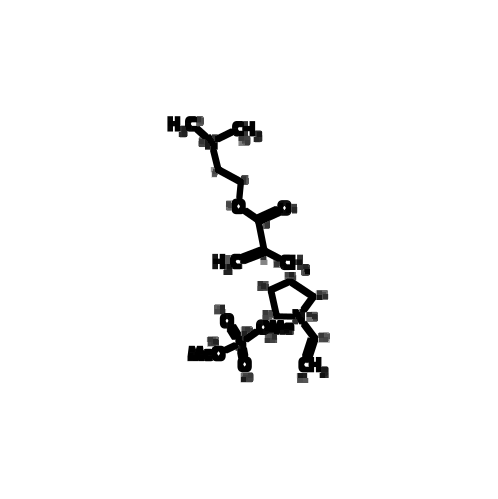 C=C(C)C(=O)OCCN(C)C.C=CN1CCCC1.COS(=O)(=O)OC